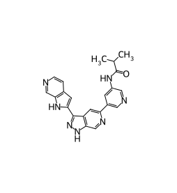 CC(C)C(=O)Nc1cncc(-c2cc3c(-c4cc5ccncc5[nH]4)n[nH]c3cn2)c1